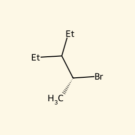 CCC(CC)[C@@H](C)Br